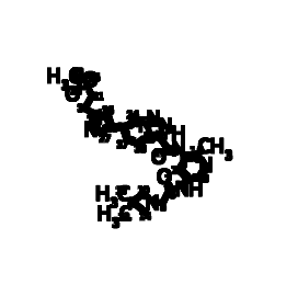 Cc1ncc(NC(=O)CN2CC(C)(C)C2)cc1NC(=O)c1nnn2cc(-c3cnn(CCS(C)(=O)=O)c3)ccc12